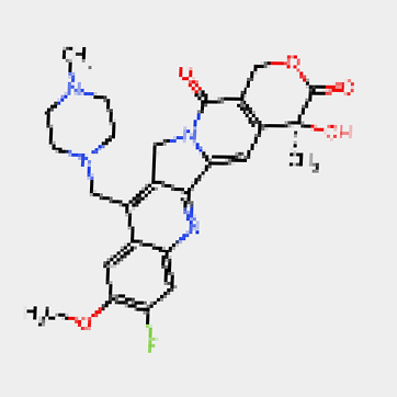 COc1cc2c(CN3CCN(C)CC3)c3c(nc2cc1F)-c1cc2c(c(=O)n1C3)COC(=O)[C@@]2(C)O